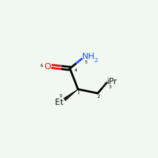 CC[C@H](CC(C)C)C(N)=O